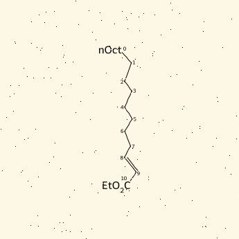 CCCCCCCCCCCCCCCC=CC(=O)OCC